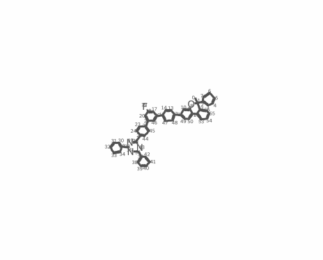 CC1(c2ccccc2)Oc2cc(-c3ccc(-c4cc(F)cc(-c5ccc(-c6nc(-c7ccccc7)nc(-c7ccccc7)n6)cc5)c4)cc3)ccc2-c2ccccc21